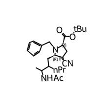 CCCC(C[C@@H]1[C@H](C#N)C[C@H](C(=O)OC(C)(C)C)N1Cc1ccccc1)C(C)NC(C)=O